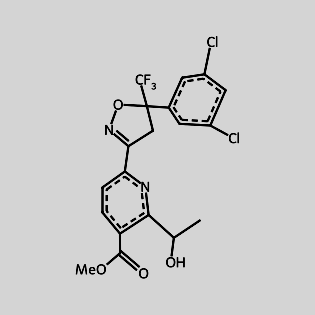 COC(=O)c1ccc(C2=NOC(c3cc(Cl)cc(Cl)c3)(C(F)(F)F)C2)nc1C(C)O